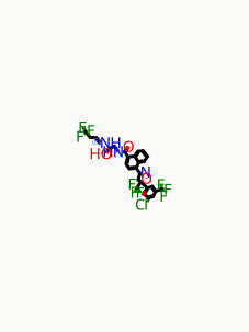 O=C(NCC(O)N/C=C/CC(F)(F)F)c1ccc(C2=NOC(c3cc(Cl)cc(C(F)(F)F)c3)(C(F)(F)F)C2)c2ccccc12